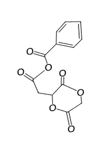 O=C(CC1OC(=O)COC1=O)OC(=O)c1ccccc1